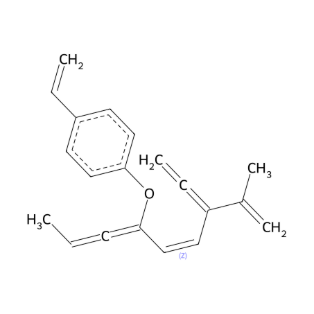 C=C=C(/C=C\C(=C=CC)Oc1ccc(C=C)cc1)C(=C)C